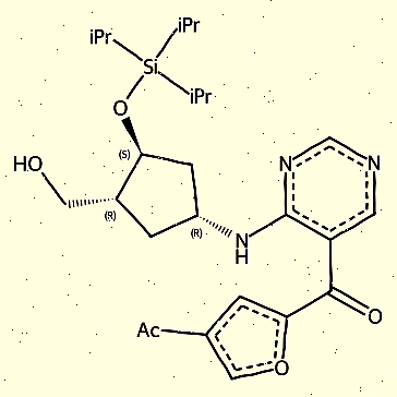 CC(=O)c1coc(C(=O)c2cncnc2N[C@@H]2C[C@H](CO)[C@@H](O[Si](C(C)C)(C(C)C)C(C)C)C2)c1